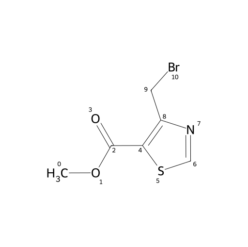 COC(=O)c1scnc1CBr